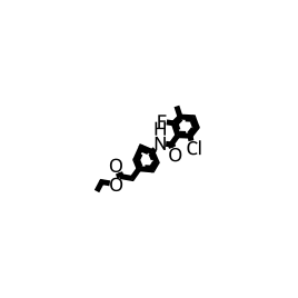 CCOC(=O)Cc1ccc(NC(=O)c2c(Cl)ccc(C)c2F)cc1